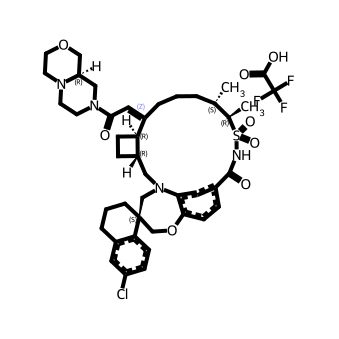 C[C@@H]1[C@@H](C)CCC/C(=C/C(=O)N2CCN3CCOC[C@H]3C2)[C@@H]2CC[C@H]2CN2C[C@@]3(CCCc4cc(Cl)ccc43)COc3ccc(cc32)C(=O)NS1(=O)=O.O=C(O)C(F)(F)F